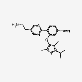 Cc1nn(C(C)C)c(C)c1Oc1cc(C#N)ccc1-c1ncc(CCN)cn1